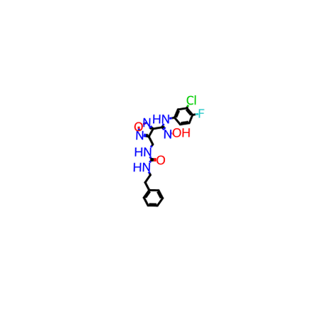 O=C(NCCc1ccccc1)NCc1nonc1C(=NO)Nc1ccc(F)c(Cl)c1